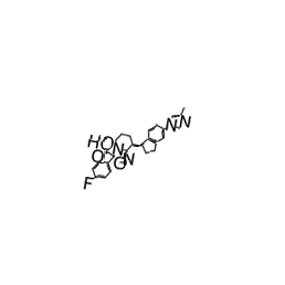 Cc1cn(-c2ccc3c(c2)CCC3=C2CCCN3C2=NOC3(C(=O)O)c2ccc(F)cc2)cn1